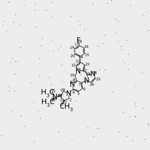 C[C@@H]1CN(c2ccc3c(n2)Cn2cc(-c4ccc(F)cc4)cc2-c2nccn2-3)C[C@@H]1N(C)C